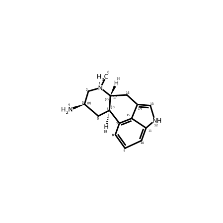 CN1C[C@H](N)C[C@@H]2c3cccc4[nH]cc(c34)C[C@H]21